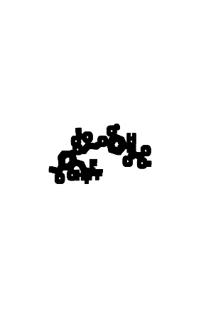 COC(=O)C(=O)Nc1ccc(OCC(COc2ccc(C(C)=O)c(O)c2CCC(F)(F)F)OC(C)=O)c(OC)c1